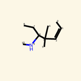 C/C=C\C(C)(C)C(CC)NC